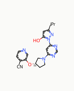 CC(C)c1cc(O)n(-c2cc(N3CC[C@H](Oc4cnccc4C#N)C3)ncn2)n1